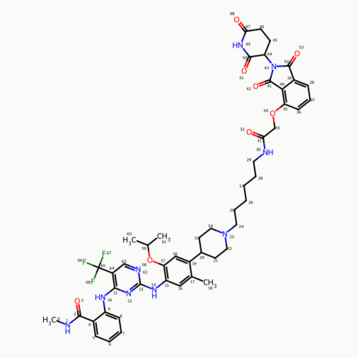 CNC(=O)c1ccccc1Nc1nc(Nc2cc(C)c(C3CCN(CCCCCCNC(=O)COc4cccc5c4C(=O)N(C4CCC(=O)NC4=O)C5=O)CC3)cc2OC(C)C)ncc1C(F)(F)F